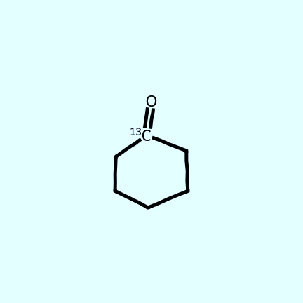 O=[13C]1CCCCC1